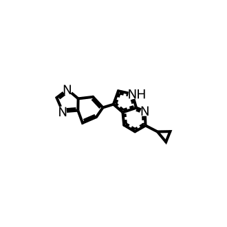 C1=CC2=NC=NC2C=C1c1c[nH]c2nc(C3CC3)ccc12